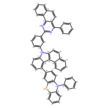 c1ccc(-c2nc(-c3cccc(-n4c5cccc(-c6ccc7c(c6)Sc6ccccc6N7c6ccccc6)c5c5c6ccccc6ccc54)c3)nc3c2ccc2ccccc23)cc1